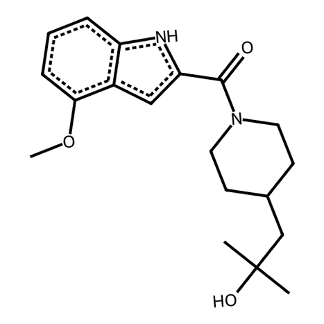 COc1cccc2[nH]c(C(=O)N3CCC(CC(C)(C)O)CC3)cc12